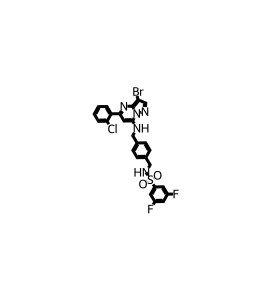 O=S(=O)(NCc1ccc(CNc2cc(-c3ccccc3Cl)nc3c(Br)cnn23)cc1)c1cc(F)cc(F)c1